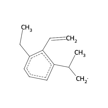 [CH2]C(C)c1cccc(CC)c1C=C